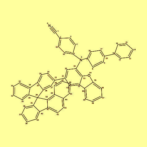 N#Cc1ccc(N(c2ccc(-c3ccccc3)cc2)c2cc(-c3ccc4c(c3)C3(c5ccccc5-4)c4ccccc4-c4ccc5ccccc5c43)cc3c2oc2ccccc23)cc1